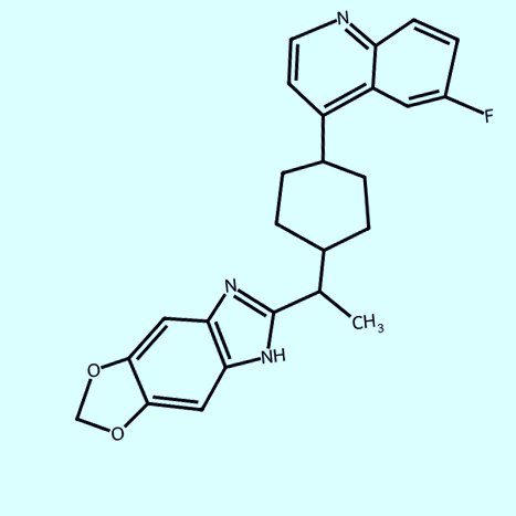 CC(c1nc2cc3c(cc2[nH]1)OCO3)C1CCC(c2ccnc3ccc(F)cc23)CC1